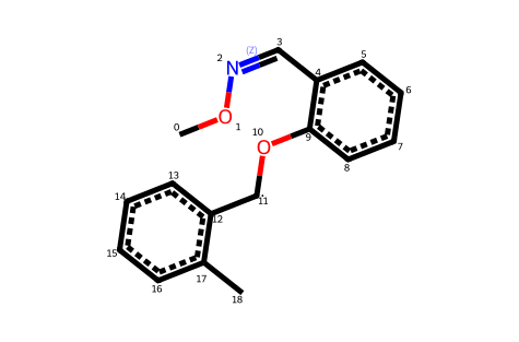 CO/N=C\c1ccccc1O[CH]c1ccccc1C